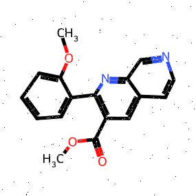 COC(=O)c1cc2ccncc2nc1-c1ccccc1OC